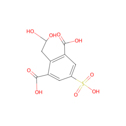 O=C(O)c1cc(S(=O)(=O)O)cc(C(=O)O)c1CC(O)O